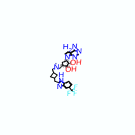 CN(CC1CC(Cc2nc3cc(C(F)(F)F)ccc3[nH]2)C1)C[C@H]1C[C@@H](n2ccc3c(N)ncnc32)[C@H](O)[C@@H]1O